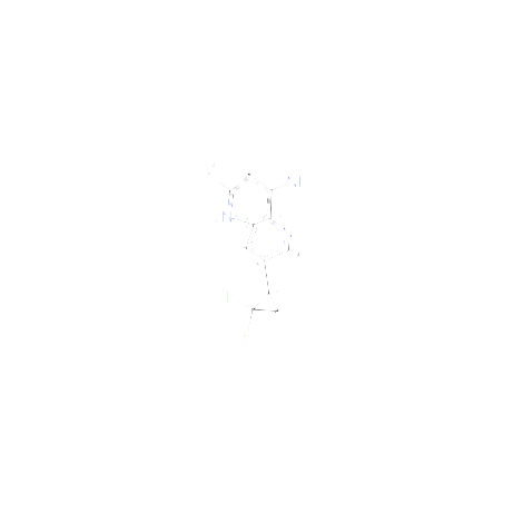 Nc1cc(Cl)nc2cc(C3CC3(F)F)cnc12